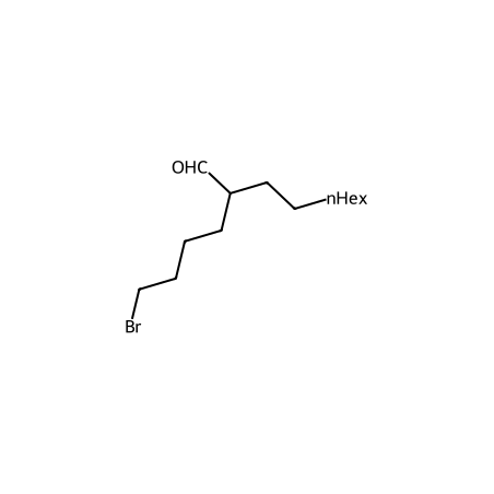 CCCCCCCCC(C=O)CCCCBr